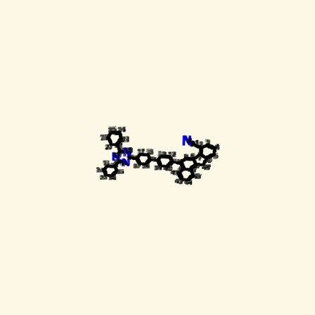 N#Cc1cccc2c1-c1cc(-c3ccc(-c4ccc(-c5nc(-c6ccccc6)nc(-c6ccccc6)n5)cc4)cc3)c3ccccc3c1C2